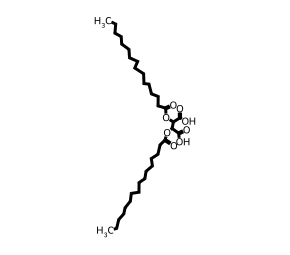 CCCCCCCCCCCCCCCC(=O)OC(C(=O)O)C(OC(=O)CCCCCCCCCCCCCCC)C(=O)O